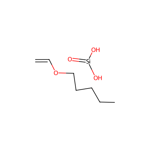 C=COCCCCC.O=[Si](O)O